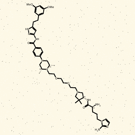 COc1cc(CCc2cc(NC(=O)c3ccc(N4C[C@@H](C)N(CCOCCOCCN5C[C@H](NC(=O)[C@@H](N)CCCn6ccnc6N)C(C)(C)C5)[C@@H](C)C4)cc3)n[nH]2)cc(OC)c1